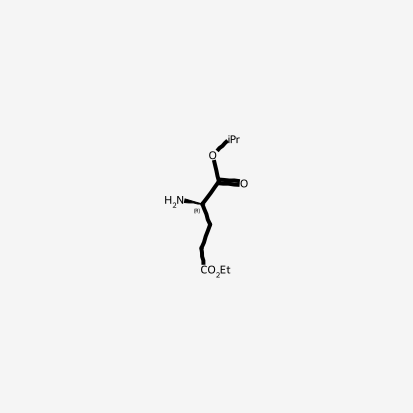 CCOC(=O)CC[C@@H](N)C(=O)OC(C)C